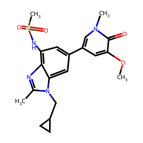 COc1cc(-c2cc(NS(C)(=O)=O)c3nc(C)n(CC4CC4)c3c2)cn(C)c1=O